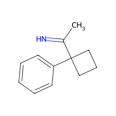 CC(=N)C1(c2ccccc2)CCC1